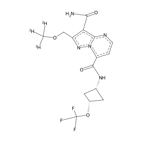 [2H]C([2H])([2H])OCc1nn2c(C(=O)N[C@H]3C[C@@H](OC(F)(F)F)C3)ccnc2c1C(N)=O